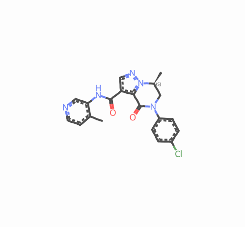 Cc1ccncc1NC(=O)c1cnn2c1C(=O)N(c1ccc(Cl)cc1)C[C@@H]2C